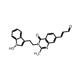 Cc1nc2cc(/C=C/[C]=O)ccc2c(=O)n1CCc1cn(O)c2ccccc12